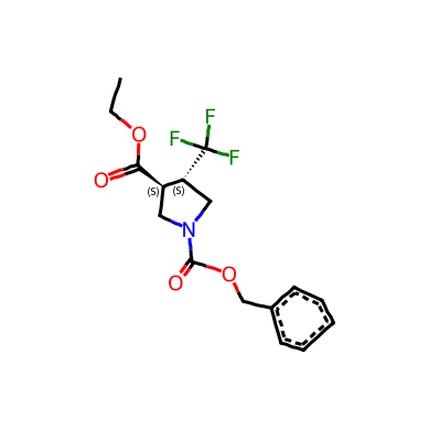 CCOC(=O)[C@@H]1CN(C(=O)OCc2ccccc2)C[C@H]1C(F)(F)F